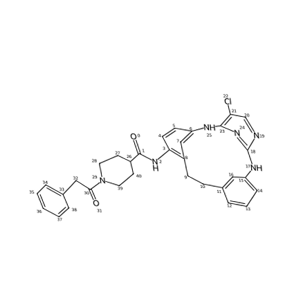 O=C(Nc1ccc2cc1CCc1cccc(c1)Nc1ncc(Cl)c(n1)N2)C1CCN(C(=O)Cc2ccccc2)CC1